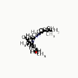 CCC(O)C(C)C1OC1CC(C)(O)/C=C/C=C(\C)CC(C)/C=C/C(OC(=O)N1C[C@@H]2C[C@H]1CN2C)C(C)(CCC(O)CC=O)OC